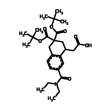 CCN(CC)C(=O)c1ccc2c(c1)C(CC(=O)O)CC(C(=O)OC(C)(C)C)(C(=O)OC(C)(C)C)C2